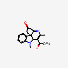 COC(=O)C1=C(C)N=C2CC(=O)CC[C@@]23c2ccccc2N(C)C13